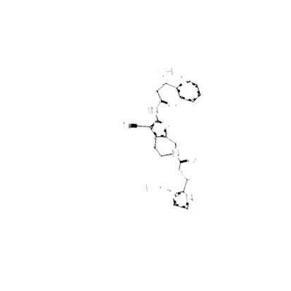 C[C@@H](CC(=O)Nc1sc2c(c1C#N)CCN(C(=O)OCc1nccn1C)C2)c1ccccn1